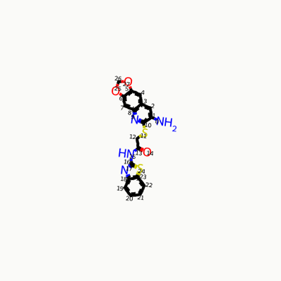 Nc1cc2cc3c(cc2nc1SCC(=O)Nc1nc2ccccc2s1)OCO3